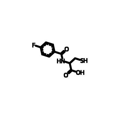 O=C(NC(CS)C(=O)O)c1ccc(F)cc1